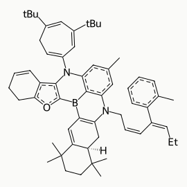 CC/C=C(\C=C/CN1C2=C(C=C3[C@@H](C2)C(C)(C)CCC3(C)C)B2c3oc4c(c3N(C3=CCC(C(C)(C)C)=CC(C(C)(C)C)=C3)c3cc(C)cc1c32)C=CCC4)c1ccccc1C